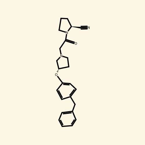 N#C[C@@H]1CCCN1C(=O)CN1CC[C@H](Oc2ccc(Cc3ccccc3)cc2)C1